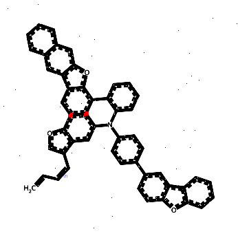 C=C/C=C\c1coc2ccc(N(c3ccc(-c4ccc5oc6ccccc6c5c4)cc3)c3ccccc3-c3cccc4c3oc3cc5ccccc5cc34)cc12